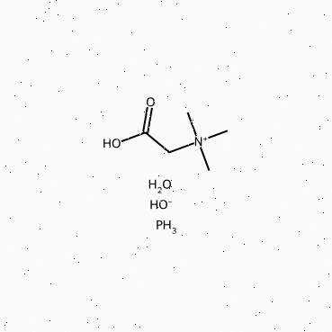 C[N+](C)(C)CC(=O)O.O.P.[OH-]